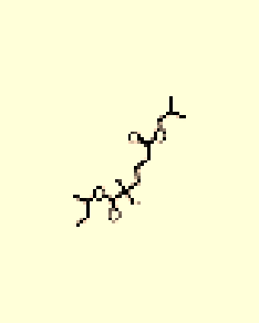 [CH2]C(C)(CCCC(=O)OCC(C)C)C(=O)OC(C)CC